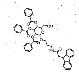 O=C(CC1c2ccccc2-c2ccccc21)NCCCO[C@H]1O[C@H](CO)[C@@H](OC(=O)c2ccccc2)[C@H](OC(=O)c2ccccc2)[C@@H]1OC(=O)c1ccccc1